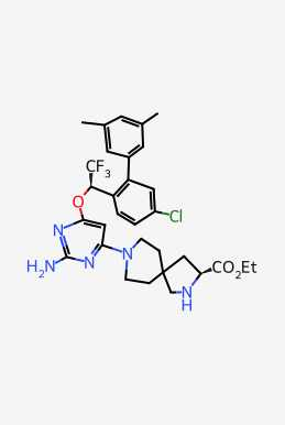 CCOC(=O)[C@@H]1CC2(CCN(c3cc(O[C@H](c4ccc(Cl)cc4-c4cc(C)cc(C)c4)C(F)(F)F)nc(N)n3)CC2)CN1